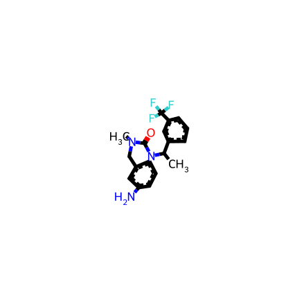 CC(c1cccc(C(F)(F)F)c1)N1C(=O)N(C)Cc2cc(N)ccc21